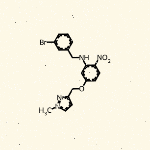 Cn1ccc(COc2ccc([N+](=O)[O-])c(NCc3cccc(Br)c3)c2)n1